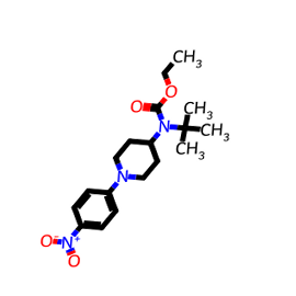 CCOC(=O)N(C1CCN(c2ccc([N+](=O)[O-])cc2)CC1)C(C)(C)C